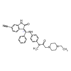 CCN1CCN(CC(=O)N(C)c2ccc(N/C(=C3\C(=O)Nc4cc(C#N)ccc43)c3ccccc3)cc2)CC1